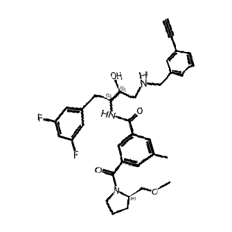 C#Cc1cccc(CNC[C@H](O)[C@H](Cc2cc(F)cc(F)c2)NC(=O)c2cc(C)cc(C(=O)N3CCC[C@@H]3COC)c2)c1